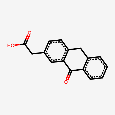 O=C(O)Cc1ccc2c(c1)C(=O)c1ccccc1C2